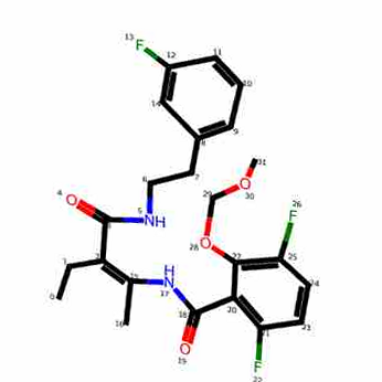 CCC(C(=O)NCCc1cccc(F)c1)=C(C)NC(=O)c1c(F)ccc(F)c1OCOC